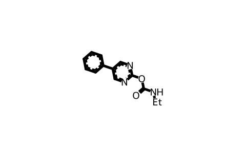 CCNC(=O)Oc1ncc(-c2ccccc2)cn1